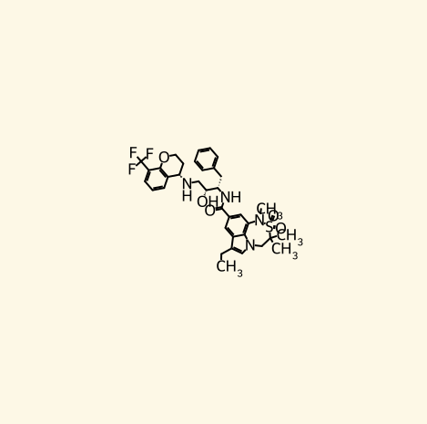 CCc1cn2c3c(cc(C(=O)N[C@@H](Cc4ccccc4)[C@H](O)CN[C@H]4CCOc5c4cccc5C(F)(F)F)cc13)N(C)S(=O)(=O)C(C)(C)C2